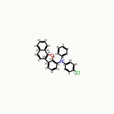 Clc1ccc(N(c2ccccc2)c2cccc3c2oc2c4ccccc4ccc32)cc1